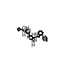 CN1CCN(c2cccc3[nH]c(-c4n[nH]c5cnc(-c6cncc(NC(O)C7CCC7)c6)cc45)cc23)CC1